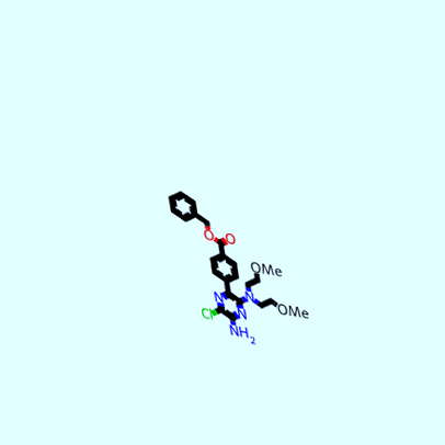 COCCN(CCOC)c1nc(N)c(Cl)nc1-c1ccc(C(=O)OCc2ccccc2)cc1